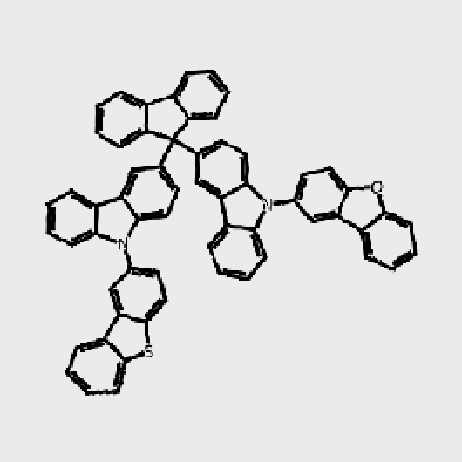 c1ccc2c(c1)-c1ccccc1C2(c1ccc2c(c1)c1ccccc1n2-c1ccc2oc3ccccc3c2c1)c1ccc2c(c1)c1ccccc1n2-c1ccc2sc3ccccc3c2c1